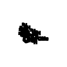 [2H]c1c([2H])c([C@@H](CN(C([2H])([2H])[2H])C([2H])([2H])[2H])C2(O)CCCCC2)c([2H])c([2H])c1OC